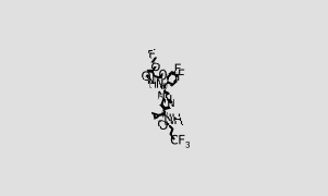 O=C(CCC(F)(F)F)N[C@@H](c1cnn2cc([C@@H](NC(=O)c3nocc3OCCF)C3CCC(F)(F)CC3)nc2c1)C1CC1